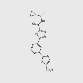 C[C@H](NC(=O)c1nnc(-c2cccc(-c3ncc(C(=O)O)o3)c2)[nH]1)C1CC1